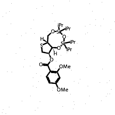 COc1ccc(C(=O)O[C@H]2CS[C@@H]3CO[Si](C(C)C)(C(C)C)O[Si](C(C)C)(C(C)C)O[C@@H]23)c(OC)c1